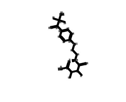 CC(C(=O)O)C(C)C(=O)NCCOc1ccc(C(=O)C(C)(C)O)cc1